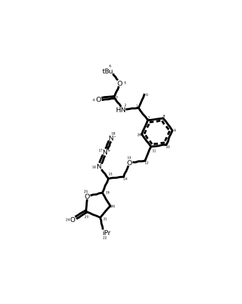 CC(NC(=O)OC(C)(C)C)c1cccc(COCC(N=[N+]=[N-])C2CC(C(C)C)C(=O)O2)c1